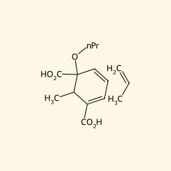 C=CC.CCCOC1(C(=O)O)C=CC=C(C(=O)O)C1C